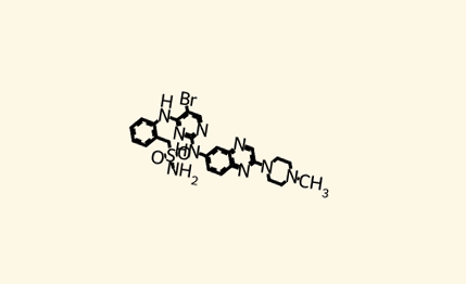 CN1CCN(c2cnc3cc(Nc4ncc(Br)c(Nc5ccccc5CS(N)(=O)=O)n4)ccc3n2)CC1